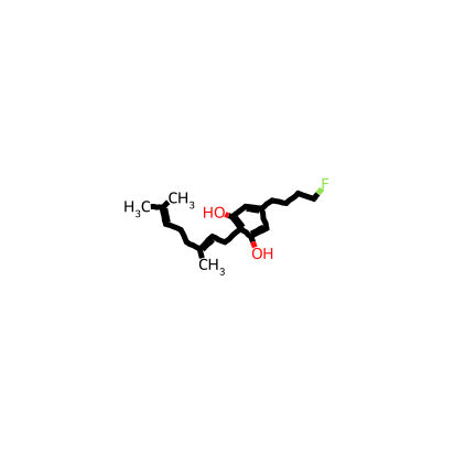 CC(C)=CCC/C(C)=C/Cc1c(O)cc(CCCCF)cc1O